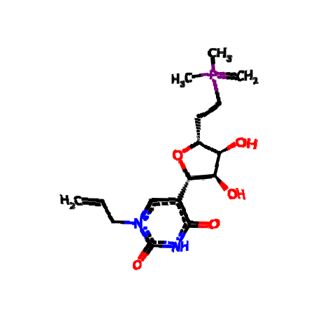 C=CCn1cc([C@@H]2O[C@H](CCP(=C)(C)C)[C@@H](O)[C@H]2O)c(=O)[nH]c1=O